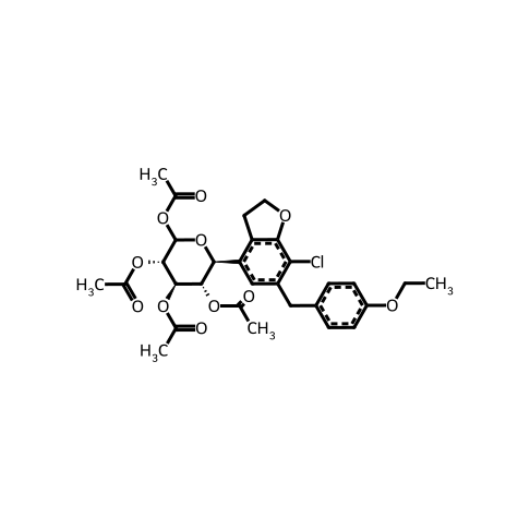 CCOc1ccc(Cc2cc([C@@H]3OC(OC(C)=O)[C@@H](OC(C)=O)[C@H](OC(C)=O)[C@H]3OC(C)=O)c3c(c2Cl)OCC3)cc1